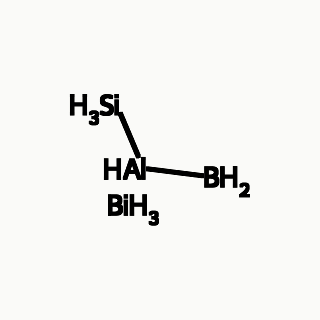 [BH2][AlH][SiH3].[BiH3]